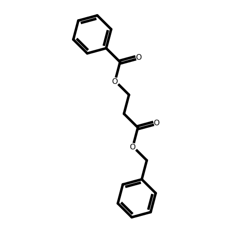 O=C(CCOC(=O)c1ccccc1)OCc1ccccc1